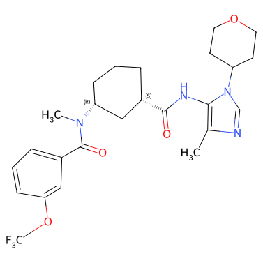 Cc1ncn(C2CCOCC2)c1NC(=O)[C@H]1CCC[C@@H](N(C)C(=O)c2cccc(OC(F)(F)F)c2)C1